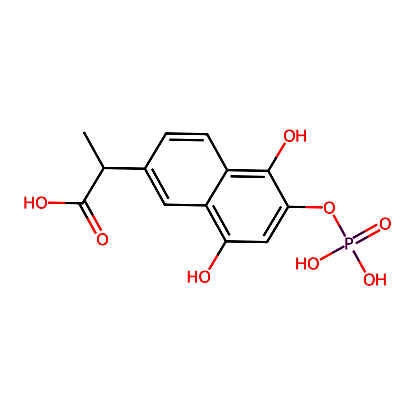 CC(C(=O)O)c1ccc2c(O)c(OP(=O)(O)O)cc(O)c2c1